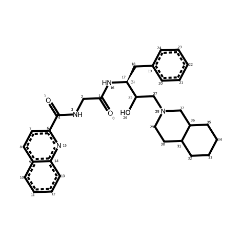 O=C(CNC(=O)c1ccc2ccccc2n1)N[C@@H](Cc1ccccc1)C(O)CN1CCC2CCCCC2C1